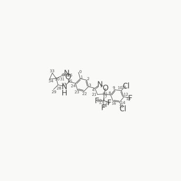 Cc1cc(C2=NO[C@@](c3cc(Cl)c(F)c(Cl)c3)(C(F)(F)F)C2)ccc1C(=O)NC(C)C1(C#N)CC1